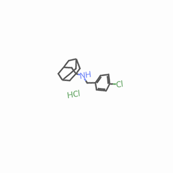 Cl.Clc1ccc(CNC23CC4CC(CC(C4)C2)C3)cc1